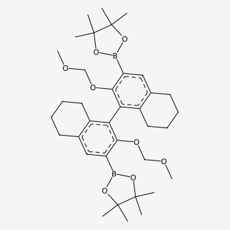 COCOc1c(B2OC(C)(C)C(C)(C)O2)cc2c(c1-c1c3c(cc(B4OC(C)(C)C(C)(C)O4)c1OCOC)CCCC3)CCCC2